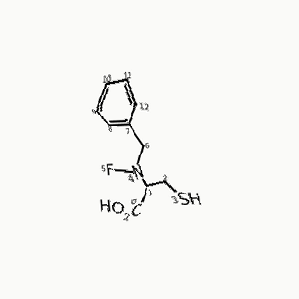 O=C(O)[C@H](CS)N(F)Cc1ccccc1